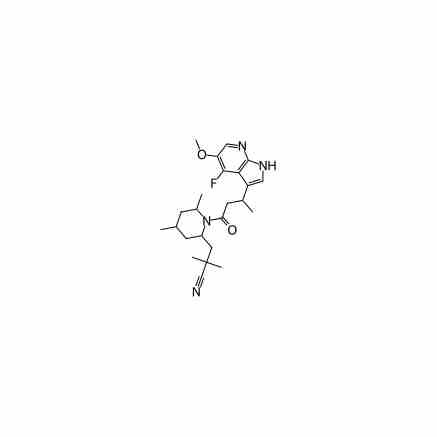 COc1cnc2[nH]cc(C(C)CC(=O)N3C(C)CC(C)CC3CC(C)(C)C#N)c2c1F